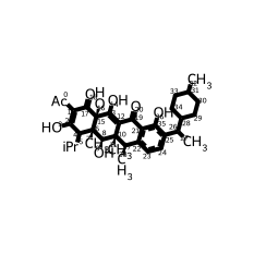 CC(=O)C1=C(O)C(C(C)C)[C@@]2(C)[C@H](O)[C@]3(C)C(=C(O)[C@@]2(O)C1=O)C(=O)c1c(ccc(C(C)C2CCC(C)CC2)c1O)[C@H]3C